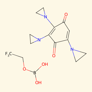 O=C1C=C(N2CC2)C(=O)C(N2CC2)=C1N1CC1.OB(O)OCC(F)(F)F